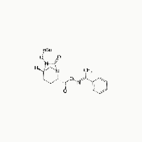 CCCCON1C(=O)N2C[C@@H]1CC[C@H]2C(=O)O/N=C(\C)c1ccccc1